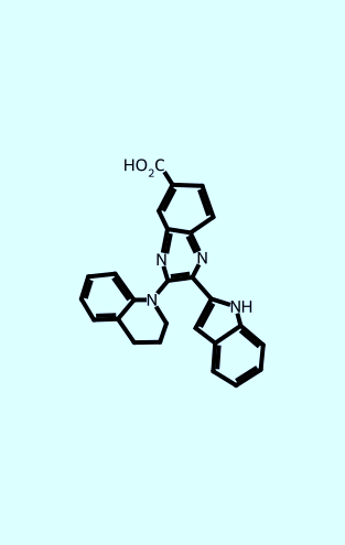 O=C(O)c1ccc2nc(-c3cc4ccccc4[nH]3)c(N3CCCc4ccccc43)nc2c1